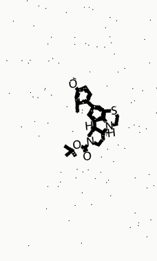 COc1ccc(-c2cc3c4c(c2)[C@@H]2CN(C(=O)OC(C)(C)C)CC[C@@H]2N4CCS3)c(C)c1